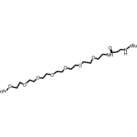 CCCOCCOCCOCCOCCOCCOCCOCCNC(=O)CCNC(C)(C)C